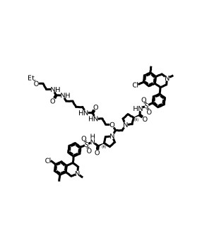 CCOCCNC(=O)NCCCCNC(=O)NCCOC(CN1CC[C@@H](C(=O)NS(=O)(=O)c2cccc(C3CN(C)Cc4c(C)cc(Cl)cc43)c2)C1)N1CC[C@@H](C(=O)NS(=O)(=O)c2cccc(C3CN(C)Cc4c(C)cc(Cl)cc43)c2)C1